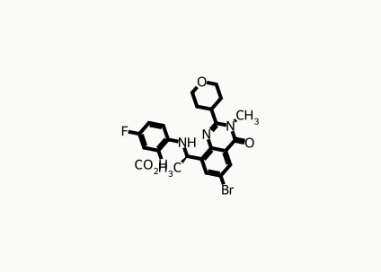 C[C@@H](Nc1ccc(F)cc1C(=O)O)c1cc(Br)cc2c(=O)n(C)c(C3CCOCC3)nc12